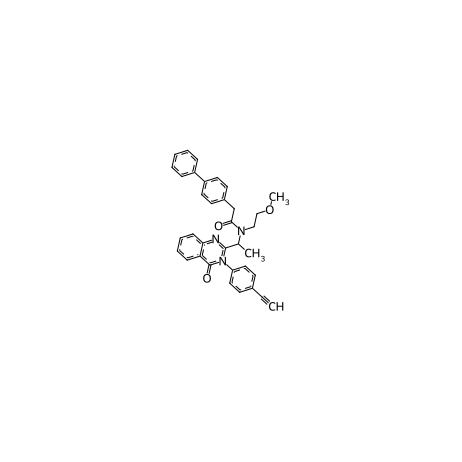 C#Cc1ccc(-n2c(C(C)N(CCOC)C(=O)Cc3ccc(-c4ccccc4)cc3)nc3ccccc3c2=O)cc1